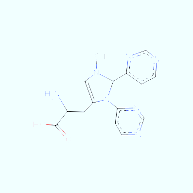 CN1C=C(CC(N)C(=O)O)N(c2ccncn2)C1c1ccncn1